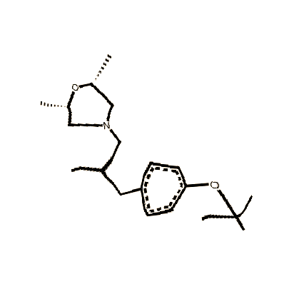 CC(Cc1ccc(OC(C)(C)C)cc1)CN1C[C@@H](C)O[C@@H](C)C1